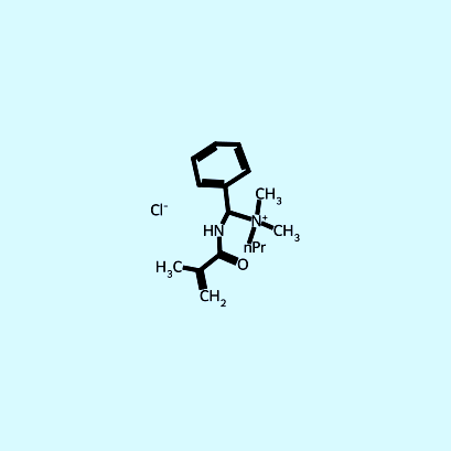 C=C(C)C(=O)NC(c1ccccc1)[N+](C)(C)CCC.[Cl-]